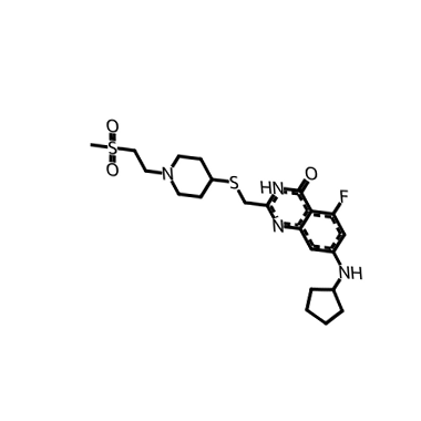 CS(=O)(=O)CCN1CCC(SCc2nc3cc(NC4CCCC4)cc(F)c3c(=O)[nH]2)CC1